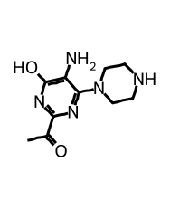 CC(=O)c1nc(O)c(N)c(N2CCNCC2)n1